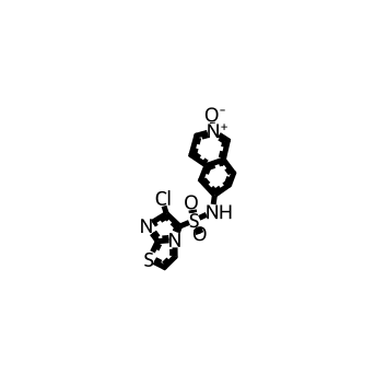 O=S(=O)(Nc1ccc2c[n+]([O-])ccc2c1)c1c(Cl)nc2sccn12